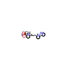 CC1(c2cccc(CCCc3cccc(-c4ccccn4)n3)n2)OCCO1